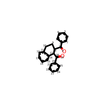 O=C(c1ccccc1)C1CCc2ccccc2C1C(=O)c1ccccc1